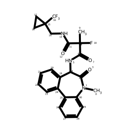 CN1C(=O)C(NC(=O)C(C)(F)C(=O)NCC2(C(F)(F)F)CC2)c2ccccc2-c2ccccc21